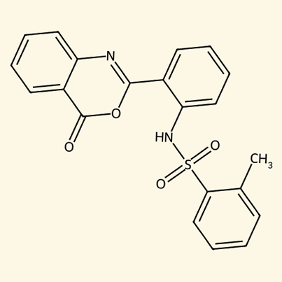 Cc1ccccc1S(=O)(=O)Nc1ccccc1-c1nc2ccccc2c(=O)o1